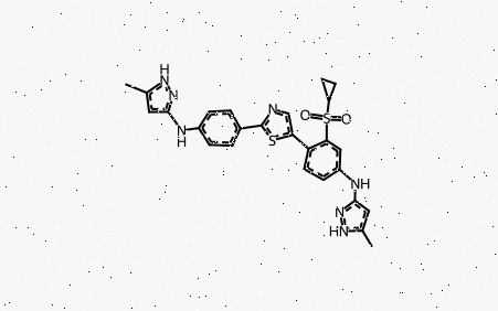 Cc1cc(Nc2ccc(-c3ncc(-c4ccc(Nc5cc(C)[nH]n5)cc4S(=O)(=O)C4CC4)s3)cc2)n[nH]1